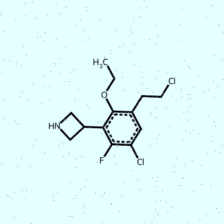 CCOc1c(CCCl)cc(Cl)c(F)c1C1CNC1